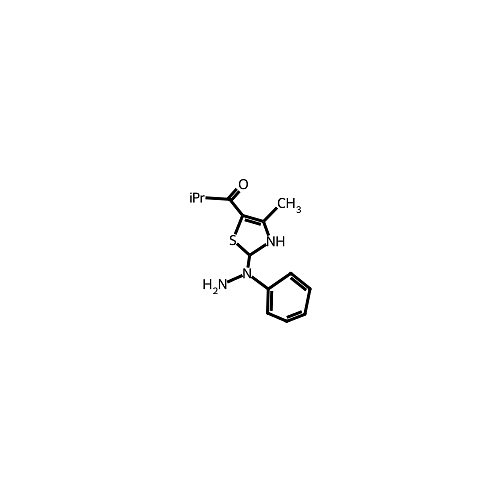 CC1=C(C(=O)C(C)C)SC(N(N)c2ccccc2)N1